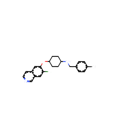 FC(F)(F)c1ccc(CNC2CCC(Oc3cc4ccncc4cc3Cl)CC2)cc1